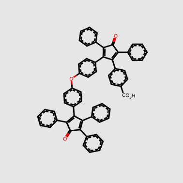 O=C1C(c2ccccc2)=C(c2ccccc2)C(c2ccc(Oc3ccc(C4=C(c5ccccc5)C(=O)C(c5ccccc5)=C4c4ccc(C(=O)O)cc4)cc3)cc2)=C1c1ccccc1